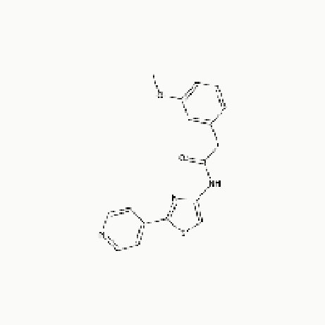 COc1cccc(CC(=O)Nc2csc(-c3ccncc3)n2)c1